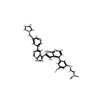 CN(C)CCOc1cc(F)cc(-c2ccnc3[nH]c(-c4n[nH]c5cnc(-c6cncc(CN7CCCC7)c6)cc45)cc23)c1